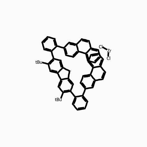 CC(C)(C)c1cc2c(cc1-c1ccccc1-c1ccc3c(ccc4ccccc43)c1)[CH]c1cc(-c3ccccc3-c3ccc4c(ccc5ccccc54)c3)c(C(C)(C)C)cc1-2.[Cl][Zr][Cl]